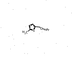 CCCOCc1ccc(C)s1